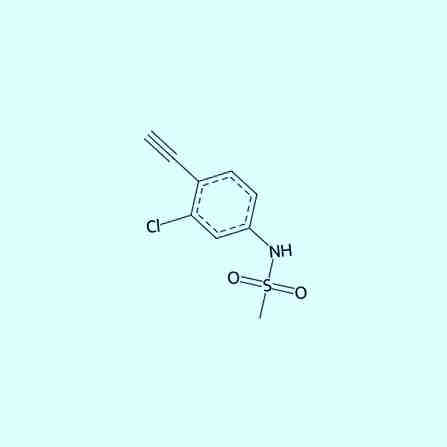 C#Cc1ccc(NS(C)(=O)=O)cc1Cl